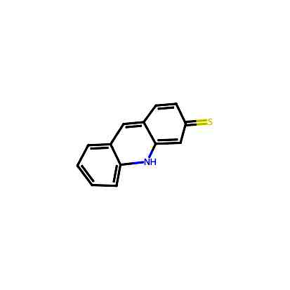 S=c1ccc2cc3ccccc3[nH]c-2c1